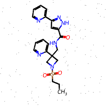 CCCS(=O)(=O)N1CC(CNC(=O)c2cc(-c3ccccn3)n[nH]2)(c2ccccn2)C1